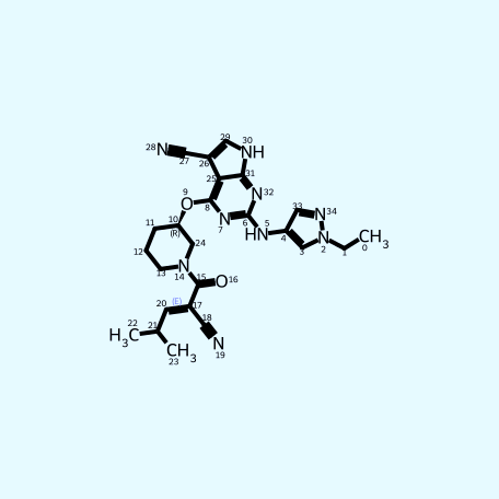 CCn1cc(Nc2nc(O[C@@H]3CCCN(C(=O)/C(C#N)=C/C(C)C)C3)c3c(C#N)c[nH]c3n2)cn1